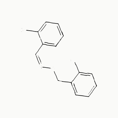 Clc1ccccc1CO/N=[C]\c1ccccc1Br